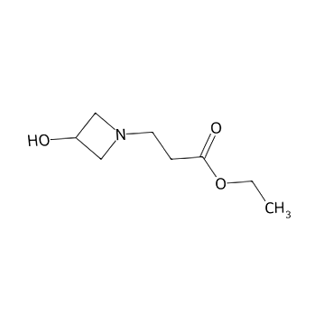 CCOC(=O)CCN1CC(O)C1